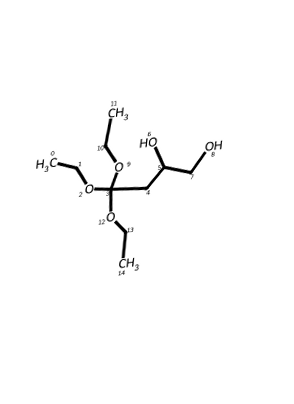 CCOC(CC(O)CO)(OCC)OCC